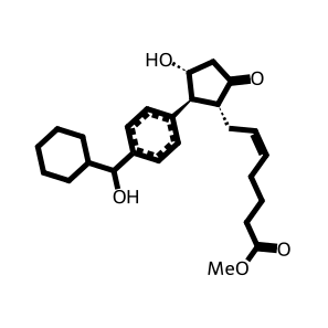 COC(=O)CCC/C=C\C[C@H]1C(=O)C[C@@H](O)[C@@H]1c1ccc(C(O)C2CCCCC2)cc1